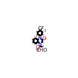 CC(OC=O)N1CC(=O)N(c2ccc(C(F)(F)F)cc2)c2ccccc21